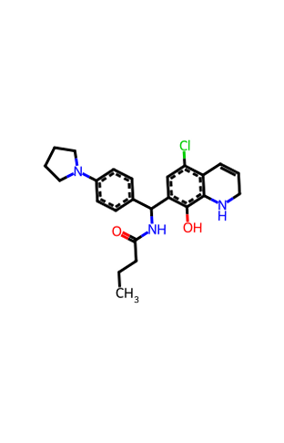 CCCC(=O)NC(c1ccc(N2CCCC2)cc1)c1cc(Cl)c2c(c1O)NCC=C2